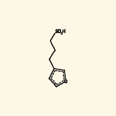 O=S(=O)(O)CCCc1ccoc1